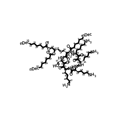 CCCCCCCCCCCCCCCC(=O)N[C@@H](CSC[C@@H](COC(=O)CCCCCCCCCCCCCCC)OC(=O)CCCCCCCCCCCCCCC)C(=O)N[C@@H](CO)C(=O)C(=O)[C@H](CCCCN)NC(=O)[C@H](CCCCN)NN[C@@H](CCCCN)C(=O)C(=O)[C@@H](N)CCCCN